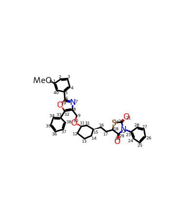 COc1cccc(-c2nc(CO[C@@H]3CCC[C@H](CCC4SC(=O)N(c5ccccc5)C4=O)C3)c(-c3ccccc3)o2)c1